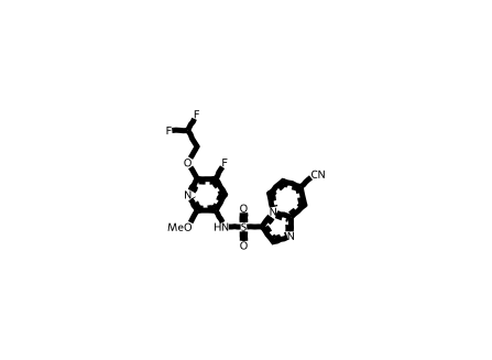 COc1nc(OCC(F)F)c(F)cc1NS(=O)(=O)c1cnc2cc(C#N)ccn12